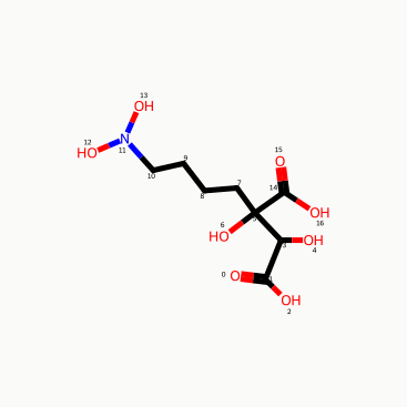 O=C(O)C(O)C(O)(CCCCN(O)O)C(=O)O